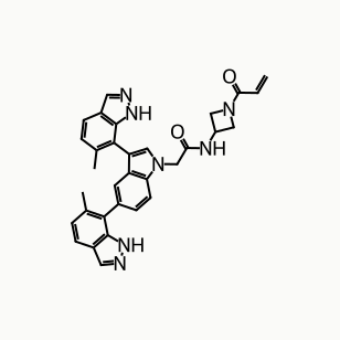 C=CC(=O)N1CC(NC(=O)Cn2cc(-c3c(C)ccc4cn[nH]c34)c3cc(-c4c(C)ccc5cn[nH]c45)ccc32)C1